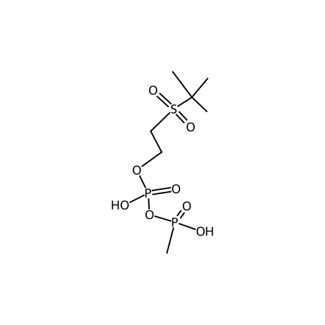 CC(C)(C)S(=O)(=O)CCOP(=O)(O)OP(C)(=O)O